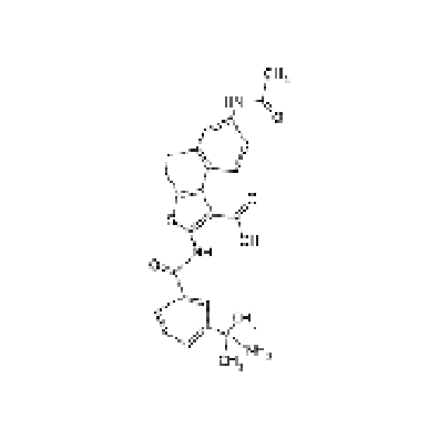 CC(=O)Nc1ccc2c(c1)CCc1sc(NC(=O)c3cccc(C(C)(C)N)c3)c(C(=O)O)c1-2